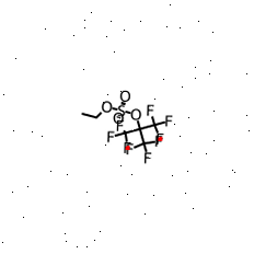 CCOS(=O)(=O)OC(C(F)(F)F)(C(F)(F)F)C(F)(F)F